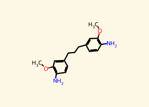 COc1cc(CCCc2ccc(N)c(OC)c2)ccc1N